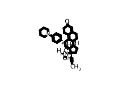 CC#C[C@]1(NO)CC[C@H]2[C@@H]3CCC4=CC(=O)CCC4=C3[C@@H](c3ccc(N4CCCCC4)cc3)C[C@@]21C